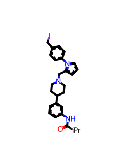 CC(C)C(=O)Nc1cccc(C2CCN(Cc3cccn3-c3ccc(CI)cc3)CC2)c1